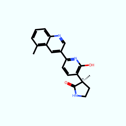 Cc1cccc2ncc(-c3ccc([C@@]4(C)CCNC4=O)c(O)n3)cc12